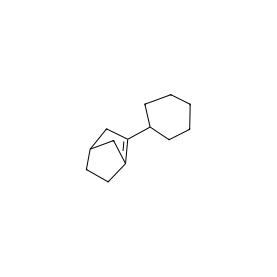 C1CCC(C2=C3CCC(C3)C2)CC1